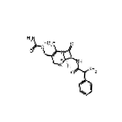 NC(=O)OCC1=C(C(=O)O)N2C(=O)C(NC(=O)C(N)c3ccccc3)[C@H]2SC1